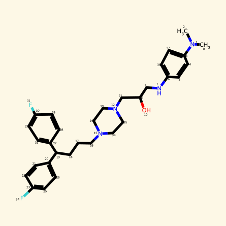 CN(C)c1ccc(NCC(O)CN2CCN(CCCC(c3ccc(F)cc3)c3ccc(F)cc3)CC2)cc1